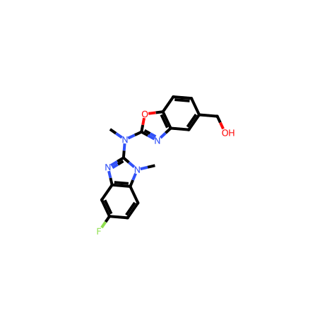 CN(c1nc2cc(CO)ccc2o1)c1nc2cc(F)ccc2n1C